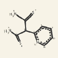 NC(=S)C(C(N)=S)c1ccccn1